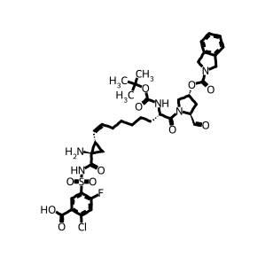 CC(C)(C)OC(=O)N[C@@H](CCCCC/C=C\[C@@H]1C[C@]1(N)C(=O)NS(=O)(=O)c1cc(C(=O)O)c(Cl)cc1F)C(=O)N1C[C@H](OC(=O)N2Cc3ccccc3C2)C[C@H]1C=O